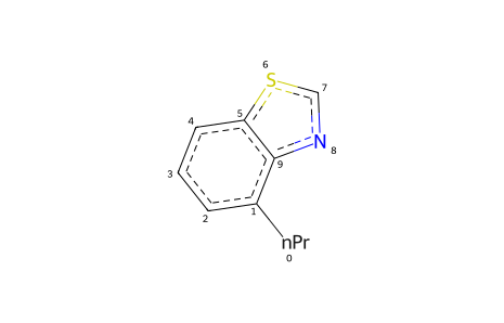 [CH2]CCc1cccc2scnc12